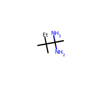 CCC(C)(C)C(C)(N)N